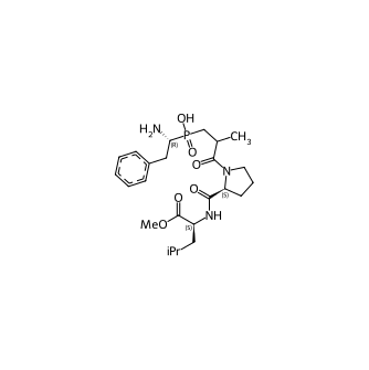 COC(=O)[C@H](CC(C)C)NC(=O)[C@@H]1CCCN1C(=O)C(C)CP(=O)(O)[C@@H](N)Cc1ccccc1